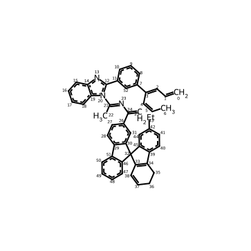 C=C/C=C(\C=C/C)c1cccc(-c2nc3ccccc3n2/C(C)=N/C(=C)c2ccc3c(c2)C2(C4=C(CCC=C4)c4ccc(CC)cc42)c2ccccc2-3)c1